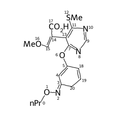 CCCON=C1C=C(Oc2ncnc(SC)c2C(=COC)C(=O)O)C=CC1